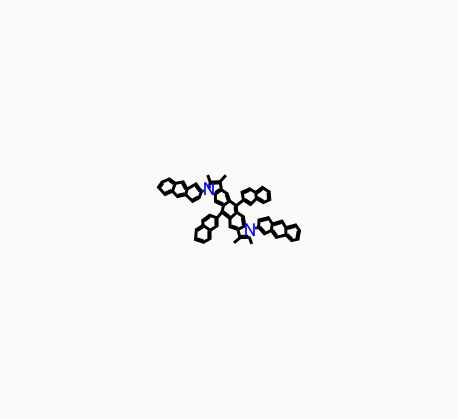 Cc1c(C)n(-c2ccc3cc4ccccc4cc3c2)c2cc3c(-c4ccc5ccccc5c4)c4cc5c(C)c(C)n(-c6ccc7cc8ccccc8cc7c6)c5cc4c(-c4ccc5ccccc5c4)c3cc12